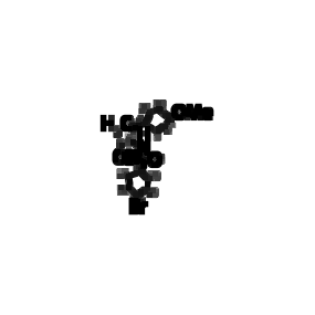 COc1ccc([C@H](C)[C@@H](CO)NS(=O)(=O)c2ccc(Br)cc2)cc1